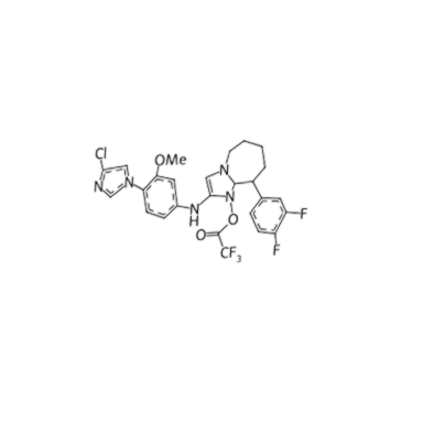 COc1cc(NC2=CN3CCCCC(c4ccc(F)c(F)c4)C3N2OC(=O)C(F)(F)F)ccc1-n1cnc(Cl)c1